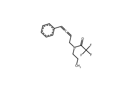 CCCN(CC=C=Cc1ccccc1)C(=O)C(F)(F)F